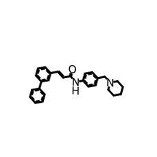 O=C(C=Cc1cccc(-c2ccccc2)c1)Nc1ccc(CN2CCCCC2)cc1